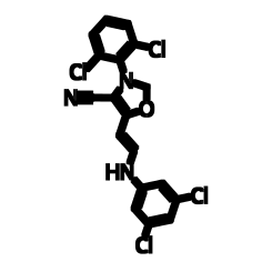 N#CC1=C(C=CNc2cc(Cl)cc(Cl)c2)OCN1c1c(Cl)cccc1Cl